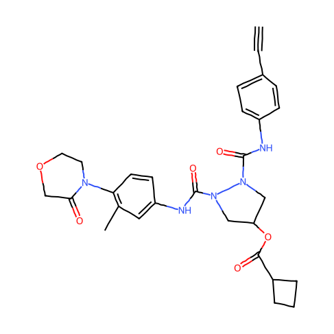 C#Cc1ccc(NC(=O)N2CC(OC(=O)C3CCC3)CN2C(=O)Nc2ccc(N3CCOCC3=O)c(C)c2)cc1